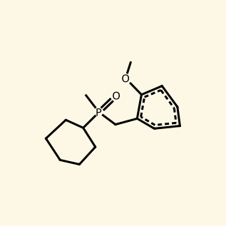 COc1ccccc1CP(C)(=O)C1CCCCC1